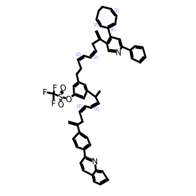 C=C(C/C=C\C=C/C(C)c1cc(CC/C=C\C=C/CC(=C)c2cnc(-c3ccccc3)cc2C2=C/C=C\CC/C=C\2)cc(OS(=O)(=O)C(F)(F)F)c1)c1ccc(-c2ccc3ccccc3n2)cc1